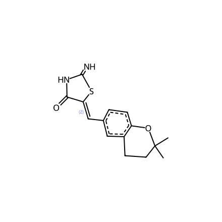 CC1(C)CCc2cc(/C=C3\SC(=N)NC3=O)ccc2O1